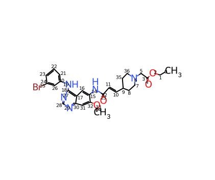 CCOC(=O)CN1CCC(C=CC(=O)Nc2cc3c(Nc4cccc(Br)c4)ncnc3cc2OC)CC1